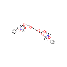 CCC1(C)CC2(OCC(COCCCCOCC3COC4(CC(C)(CC)N(OC(C)c5ccccc5)C(C)(CC)C4C)O3)O2)C(C)C(C)(CC)N1OC(C)c1ccccc1